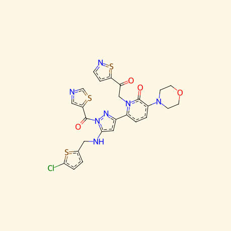 O=C(Cn1c(-c2cc(NCc3ccc(Cl)s3)n(C(=O)c3cncs3)n2)ccc(N2CCOCC2)c1=O)c1ccns1